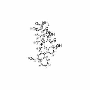 C[C@H]1c2c(-c3ccc(C=O)c4ccccc34)ccc(O)c2C(=O)C2=C(O)[C@]3(O)C(=O)C(C(N)=O)=C(O)C[C@@H]3[C@@H](O)[C@@H]21